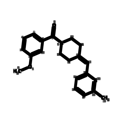 COc1cccc(C(=O)N2CCC(=Cc3cccc(C)n3)CC2)c1